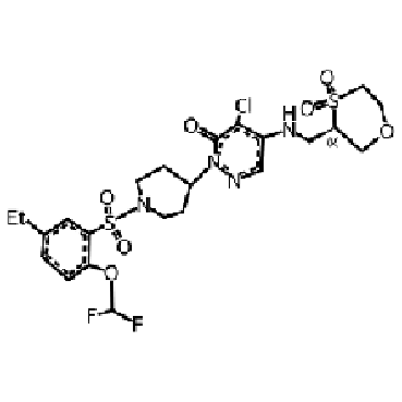 CCc1ccc(OC(F)F)c(S(=O)(=O)N2CCC(n3ncc(NC[C@@H]4COCCS4(=O)=O)c(Cl)c3=O)CC2)c1